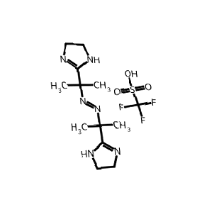 CC(C)(N=NC(C)(C)C1=NCCN1)C1=NCCN1.O=S(=O)(O)C(F)(F)F